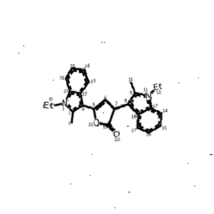 CCn1c(C)c(C2=CC(c3c(C)n(CC)c4ccccc34)C(=O)O2)c2ccccc21